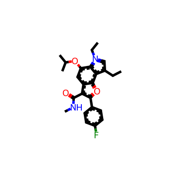 CCc1cn(CC)c2c(OC(C)C)cc3c(C(=O)NC)c(-c4ccc(F)cc4)oc3c12